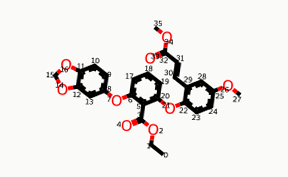 CCOC(=O)c1c(Oc2ccc3c(c2)OCO3)cccc1Oc1ccc(OC)cc1C=CC(=O)OC